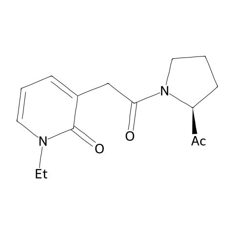 CCn1cccc(CC(=O)N2CCC[C@H]2C(C)=O)c1=O